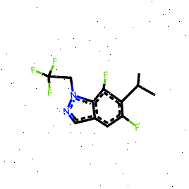 CC(C)c1c(F)cc2cnn(CC(F)(F)F)c2c1F